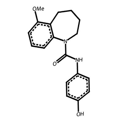 COc1cccc2c1CCCCN2C(=O)Nc1ccc(O)cc1